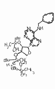 CC(C)(C)[Si](C)(C)OC[C@H]1O[C@@H](n2cnc3c(NCc4ccccc4)ncnc32)[C@H](O[Si](C)(C)C(C)(C)C)[C@@H]1O[Si](C)(C)C(C)(C)C